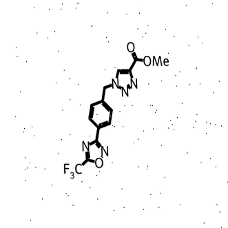 COC(=O)c1cn(Cc2ccc(-c3noc(C(F)(F)F)n3)cc2)nn1